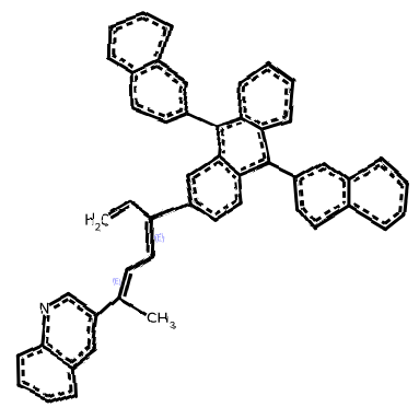 C=C/C(=C\C=C(/C)c1cnc2ccccc2c1)c1ccc2c(-c3ccc4ccccc4c3)c3ccccc3c(-c3ccc4ccccc4c3)c2c1